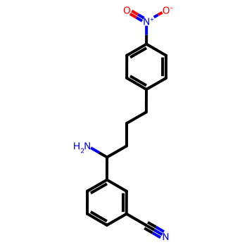 N#Cc1cccc(C(N)CCCc2ccc([N+](=O)[O-])cc2)c1